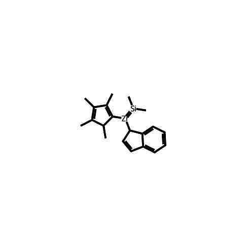 CC1=C(C)C(C)[C]([Zr]([CH]2C=Cc3ccccc32)=[Si](C)C)=C1C